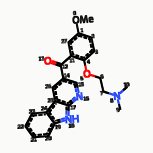 COc1ccc(OCCN(C)C)c(C(=O)c2cnc3[nH]c4ccccc4c3c2)c1